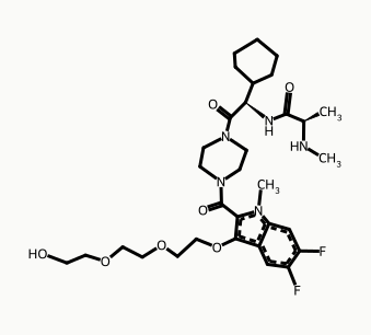 CN[C@H](C)C(=O)N[C@@H](C(=O)N1CCN(C(=O)c2c(OCCOCCOCCO)c3cc(F)c(F)cc3n2C)CC1)C1CCCCC1